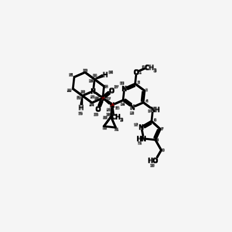 COc1cc(Nc2cc(CO)[nH]n2)nc(N(C)[C@@H]2C[C@H]3CCC[C@@H](C2)N3S(=O)(=O)CC2CC2)n1